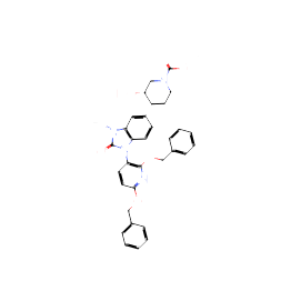 CCn1c(=O)n(-c2ccc(OCc3ccccc3)nc2OCc2ccccc2)c2ccc([C@H]3CCN(C(=O)OC(C)(C)C)C[C@@H]3O)cc21